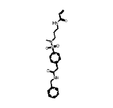 C=CC(=O)NCCCN(C)S(=O)(=O)c1ccc(CC(=O)NCc2ccccc2)cc1